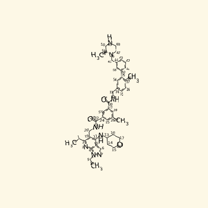 CCc1nc2c(cnn2CC)c(NC2CCOCC2)c1CNC(=O)c1cc(C)cc(C(=O)NCc2ccc(C)c(-c3cccc(CN4CCNC[C@@H]4C)c3)c2)c1